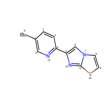 CC(C)(C)c1ccc(-c2cn3ccsc3n2)nc1